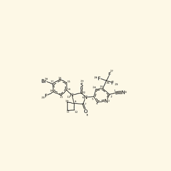 N#Cc1ncc(N2C(=O)C3(CCC3)N(c3ccc(Br)c(F)c3)C2=S)cc1C(F)(F)F